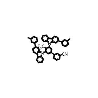 Cc1cccc(-c2ccc3c4ccccc4n(-c4cc(-c5cccc(C#N)c5)cc(-n5c6ccccc6c6ccc(-c7cccc(C)c7)cc65)c4C(F)(F)F)c3c2)c1